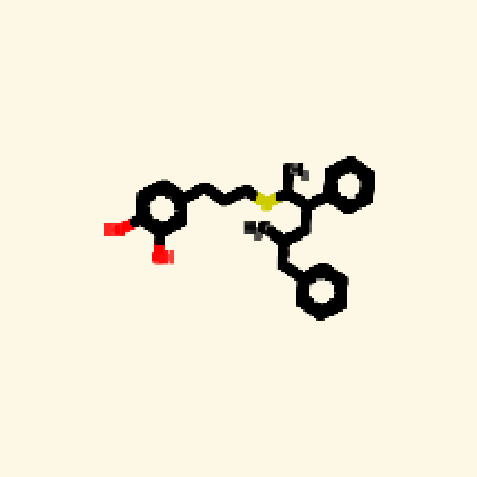 CC(Cc1ccccc1)CC(c1ccccc1)C(C)SCCCc1ccc(O)c(O)c1